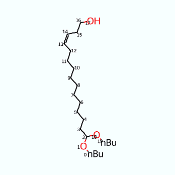 CCCCOC(CCCCCCCCCC/C=C\CCO)OCCCC